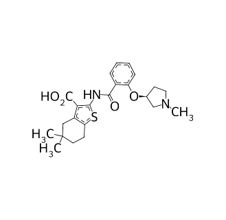 CN1CC[C@H](Oc2ccccc2C(=O)Nc2sc3c(c2C(=O)O)CC(C)(C)CC3)C1